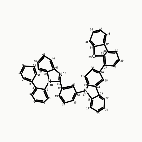 c1ccc(-c2ccccc2-n2c(-c3cccc(-n4c5ccccc5c5cc(-c6cccc7c6oc6ccccc67)ccc54)c3)nc3ccccc32)cc1